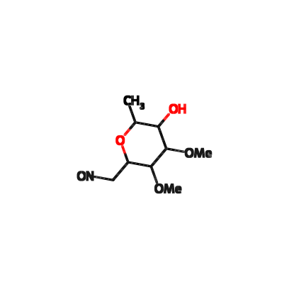 COC1C(CN=O)OC(C)C(O)C1OC